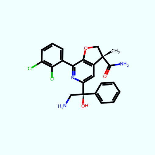 C[C@]1(C(N)=O)COc2c1cc([C@@](O)(CN)c1ccccc1)nc2-c1cccc(Cl)c1Cl